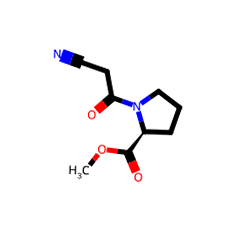 COC(=O)[C@@H]1CCCN1C(=O)CC#N